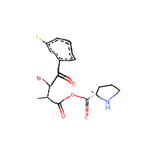 CC(C(=O)OC(=O)[C@@H]1CCCN1)C(Br)C(=O)c1cccc(F)c1